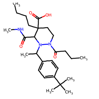 CCCCC1(C(=O)O)CCN(C(=O)CCC)N(C(C)c2ccc(C(C)(C)C)cc2)C1C(=O)NC